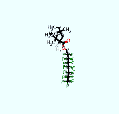 CCC(C)(C)CC(C)(C(=O)OCC(F)(F)C(F)(F)C(F)(F)C(F)(F)C(F)(F)C(F)(F)C(F)(F)F)C(C)(C)C